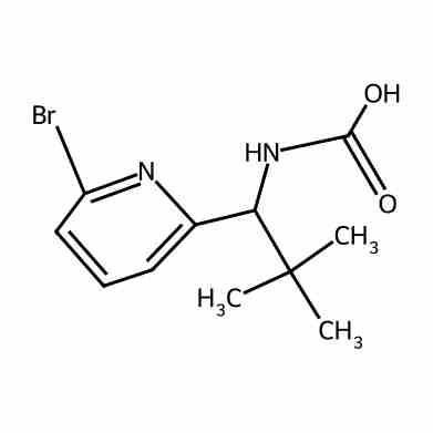 CC(C)(C)C(NC(=O)O)c1cccc(Br)n1